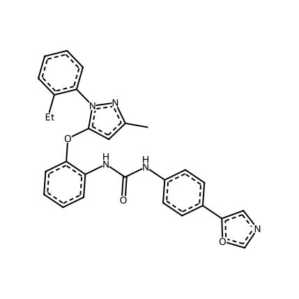 CCc1ccccc1-n1nc(C)cc1Oc1ccccc1NC(=O)Nc1ccc(-c2cnco2)cc1